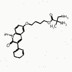 CC(C)n1c(=O)c(C2=CCCC=C2)cc2cc(OCCCCOC(=O)C(C)(N)CN)ccc21